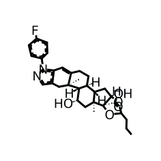 CCCC1O[C@@H]2C[C@H]3[C@@H]4CCC5=Cc6c(cnn6-c6ccc(F)cc6)C[C@]5(C)[C@H]4[C@@H](O)C[C@]3(C)[C@]2(C(=O)O)O1